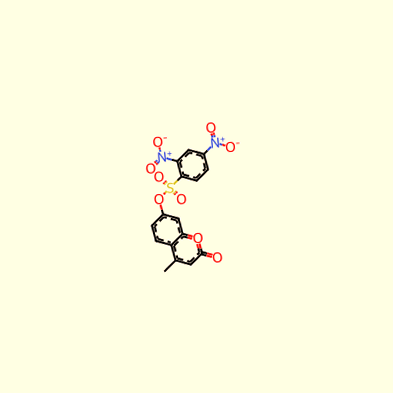 Cc1cc(=O)oc2cc(OS(=O)(=O)c3ccc([N+](=O)[O-])cc3[N+](=O)[O-])ccc12